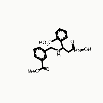 COC(=O)c1cccc(CNC(CC(=O)NO)c2ccccc2C(=O)O)c1